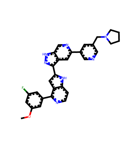 COc1cc(F)cc(-c2nccc3[nH]c(-c4n[nH]c5cnc(-c6cncc(CN7CCCC7)c6)cc45)cc23)c1